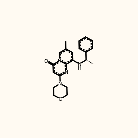 Cc1cc(N[C@@H](C)c2ccccc2)c2nc(N3CCOCC3)cc(=O)n2c1